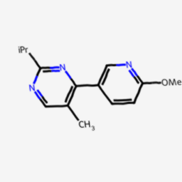 COc1ccc(-c2nc(C(C)C)ncc2C)cn1